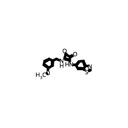 COc1cccc(CNc2c(Nc3ccc4ncsc4c3)c(=O)c2=O)c1